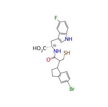 O=C(N[C@@H](Cc1c[nH]c2ccc(F)cc12)C(=O)O)C(CS)C1CCc2cc(Br)ccc21